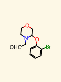 O=CCN1CCOCC1Oc1ccccc1Br